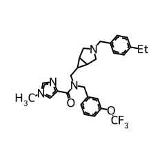 CCc1ccc(CN2CC3C(C2)C3CN(Cc2cccc(OC(F)(F)F)c2)C(=O)c2cn(C)cn2)cc1